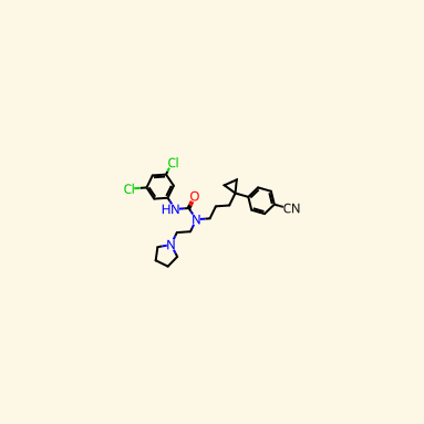 N#Cc1ccc(C2(CCCN(CCN3CCCC3)C(=O)Nc3cc(Cl)cc(Cl)c3)CC2)cc1